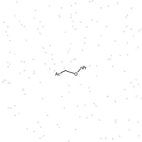 [CH2]CCOCC(C)=O